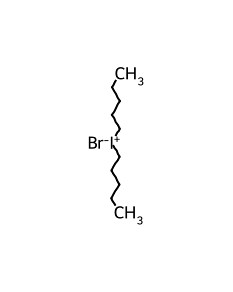 CCCCC[I+]CCCCC.[Br-]